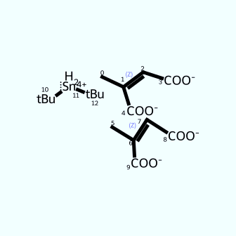 C/C(=C/C(=O)[O-])C(=O)[O-].C/C(=C/C(=O)[O-])C(=O)[O-].C[C](C)(C)[SnH2+4][C](C)(C)C